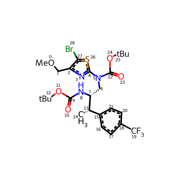 COCc1nc(N(C[C@@H](NC(=O)OC(C)(C)C)[C@@H](C)c2ccc(C(F)(F)F)cc2)C(=O)OC(C)(C)C)sc1Br